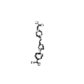 CCC(=O)CN1CCN(CCC2CCN(c3ccc(C(=O)C(C)C)cn3)C2)CC1